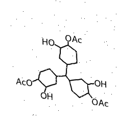 CC(=O)OC1CCC(C(C2CCC(OC(C)=O)C(O)C2)C2CCC(OC(C)=O)C(O)C2)CC1O